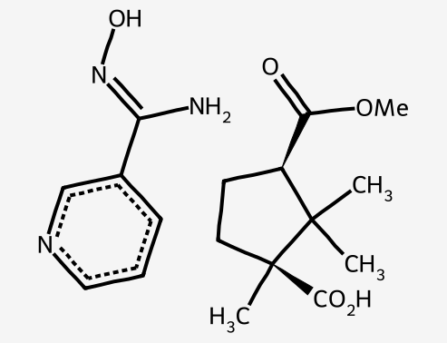 COC(=O)[C@@H]1CC[C@](C)(C(=O)O)C1(C)C.N/C(=N\O)c1cccnc1